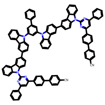 N#Cc1ccc(-c2ccc(-c3cc(-c4ccccc4)nc(-n4c5ccccc5c5cc(-c6ccc7c(c6)c6ccccc6n7-c6cc(-c7ccccc7)cc(-n7c8ccccc8c8cc(-c9ccc%10c(c9)c9ccccc9n%10-c9nc(-c%10ccccc%10)cc(-c%10ccc(-c%11ccc(C#N)cc%11)cc%10)n9)ccc87)c6)ccc54)n3)cc2)cc1